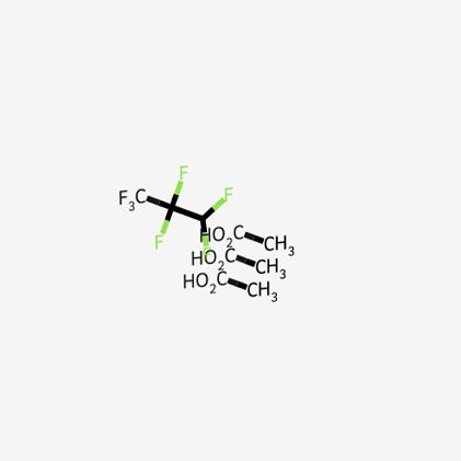 CC(=O)O.CC(=O)O.CC(=O)O.FC(F)C(F)(F)C(F)(F)F